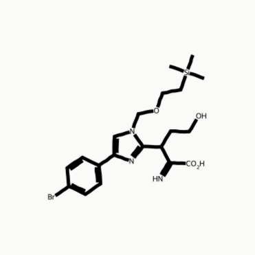 C[Si](C)(C)CCOCn1cc(-c2ccc(Br)cc2)nc1C(CCO)C(=N)C(=O)O